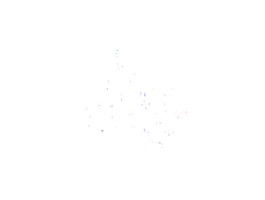 O=c1cnn2c(c1O)-c1nccn1C[C@@H]2[C@H](c1ccccc1)c1ccc(F)cc1